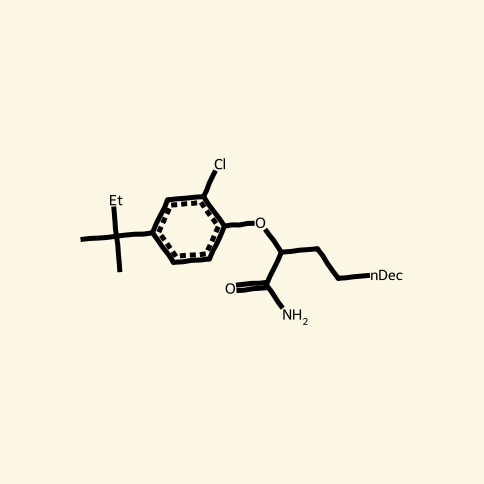 CCCCCCCCCCCCC(Oc1ccc(C(C)(C)CC)cc1Cl)C(N)=O